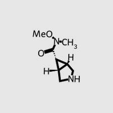 CON(C)C(=O)[C@@H]1[C@@H]2CNC[C@@H]21